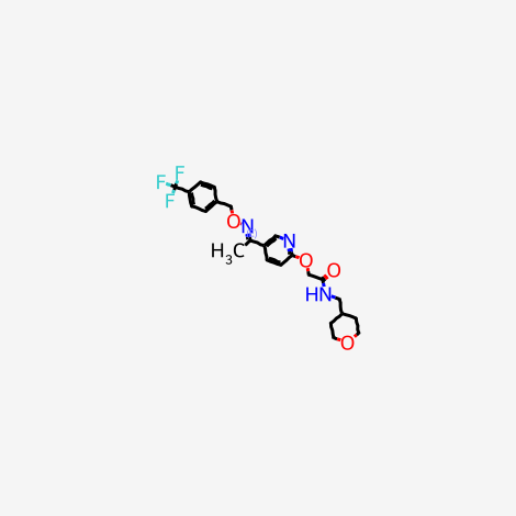 C/C(=N\OCc1ccc(C(F)(F)F)cc1)c1ccc(OCC(=O)NCC2CCOCC2)nc1